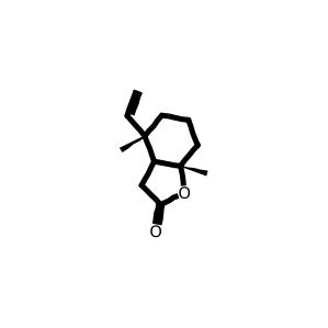 C=C[C@]1(C)CCC[C@]2(C)OC(=O)CC12